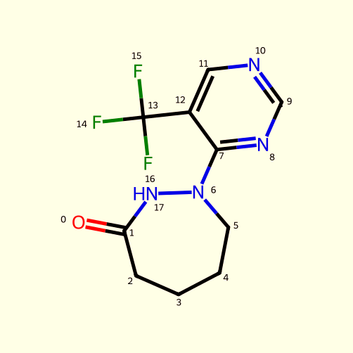 O=C1CCCCN(c2n[c]ncc2C(F)(F)F)N1